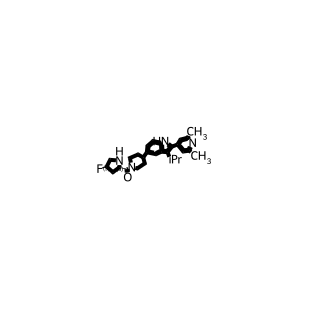 Cc1cc(-c2[nH]c3ccc(C4CCN(C(=O)[C@@H]5C[C@H](F)CN5)CC4)cc3c2C(C)C)cc(C)n1